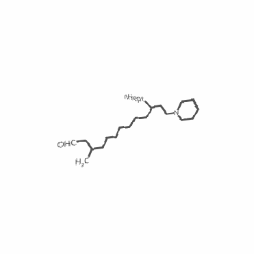 CCCCCCCC(CCCCCCCC(C)CC=O)CCN1CCCCC1